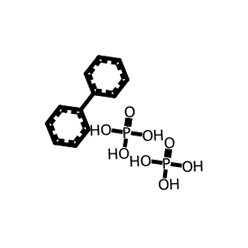 O=P(O)(O)O.O=P(O)(O)O.c1ccc(-c2ccccc2)cc1